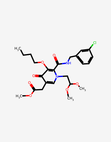 CCCCOc1c(C(=O)NCc2cccc(Cl)c2)n(CC(OC)OC)cc(CC(=O)OC)c1=O